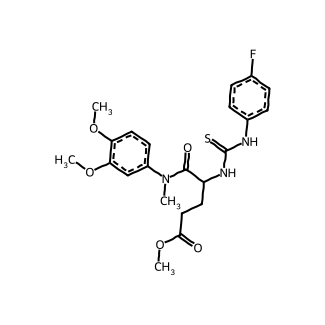 COC(=O)CCC(NC(=S)Nc1ccc(F)cc1)C(=O)N(C)c1ccc(OC)c(OC)c1